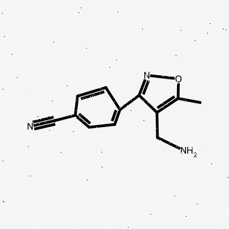 Cc1onc(-c2ccc(C#N)cc2)c1CN